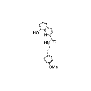 COc1ccc(CCNC(=O)c2ccc3cccc(O)c3n2)cc1